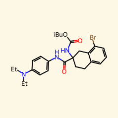 CCN(CC)c1ccc(NC(=O)C2(NC(=O)OCC(C)C)CCc3cccc(Br)c3C2)cc1